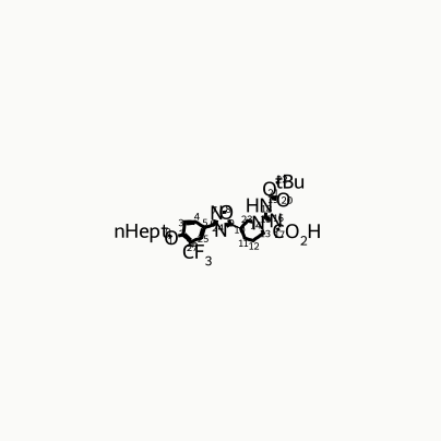 CCCCCCCOc1ccc(-c2noc([C@@H]3CCCN(/C(=N\C(=O)O)NC(=O)OC(C)(C)C)C3)n2)cc1C(F)(F)F